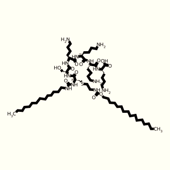 CCCCCCCCCCCCCCCCOC(=O)NCCSC[C@H](NC(=O)NCCCCCCCCCCCCCC)C(=O)N[C@H](CO)C(=O)N[C@@H](CCCCN)C(=O)N[C@@H](CCCCN)C(=O)N[C@@H](CCCCN)C(=O)N[C@@H](CCCCN)C(=O)O